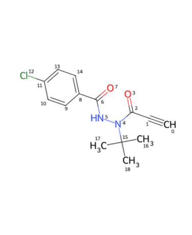 C#CC(=O)N(NC(=O)c1ccc(Cl)cc1)C(C)(C)C